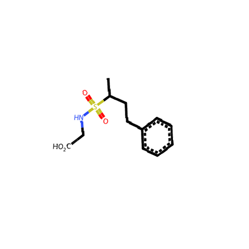 CC(CCc1ccccc1)S(=O)(=O)NCC(=O)O